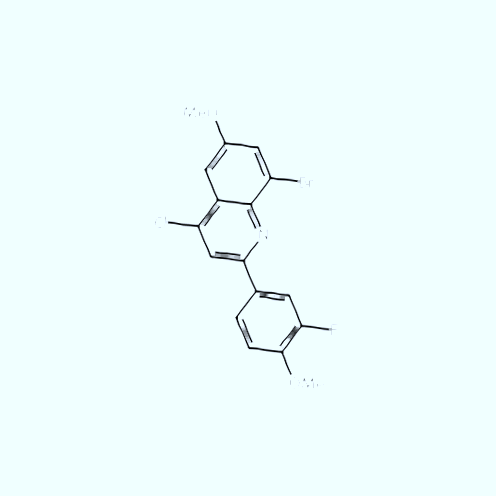 COc1cc(Br)c2nc(-c3ccc(OC)c(F)c3)cc(Cl)c2c1